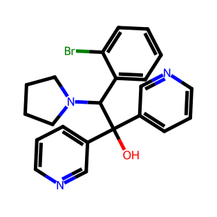 OC(c1cccnc1)(c1cccnc1)C(c1ccccc1Br)N1CCCC1